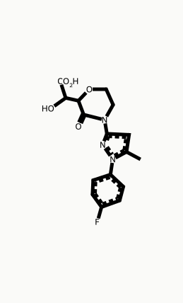 Cc1cc(N2CCOC(C(O)C(=O)O)C2=O)nn1-c1ccc(F)cc1